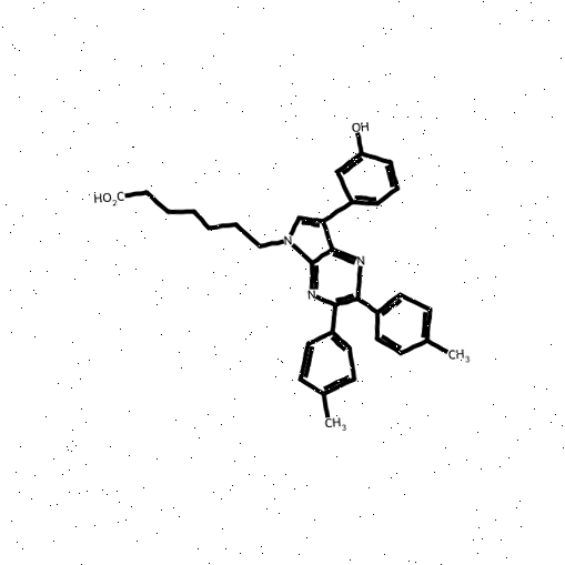 Cc1ccc(-c2nc3c(-c4cccc(O)c4)cn(CCCCCCC(=O)O)c3nc2-c2ccc(C)cc2)cc1